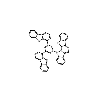 c1ccc2c(c1)oc1c(-c3cc(-c4cccc5c4oc4ccccc45)nc(-n4c5ccccc5c5ccc6c7ccccc7oc6c54)n3)cccc12